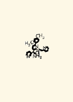 Cc1ccc(-c2ccc(C(C(N)=O)c3cccnc3)c(NCCc3ccccn3)n2)c(C)c1